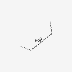 CCCCCCCC/C=C\CCCCCCCCN(CCCCCCCC/C=C\CCCCCCCC)C(=O)O